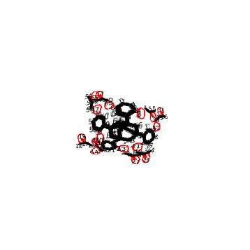 c1cc(OCC2CO2)c(C23CC4(c5cc(OCC6CO6)ccc5OCC5CO5)CC(c5cc(OCC6CO6)ccc5OCC5CO5)(C2)CC(c2cc(OCC5CO5)ccc2OCC2CO2)(C3)C4)cc1OCC1CO1